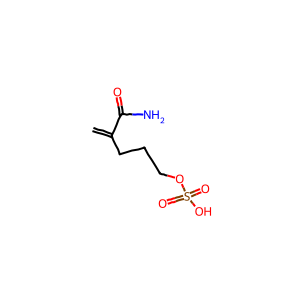 C=C(CCCOS(=O)(=O)O)C(N)=O